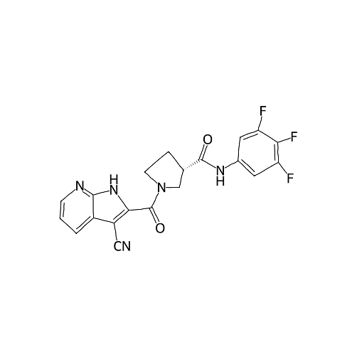 N#Cc1c(C(=O)N2CC[C@H](C(=O)Nc3cc(F)c(F)c(F)c3)C2)[nH]c2ncccc12